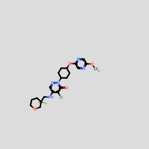 O=c1c(Cl)c(NC[C@@]2(F)CCCOC2)cnn1C1CCC(Oc2cnc(OC(F)(F)F)cn2)CC1